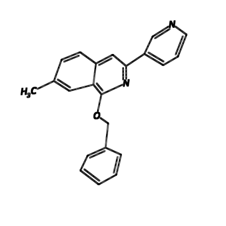 Cc1ccc2cc(-c3cccnc3)nc(OCc3ccccc3)c2c1